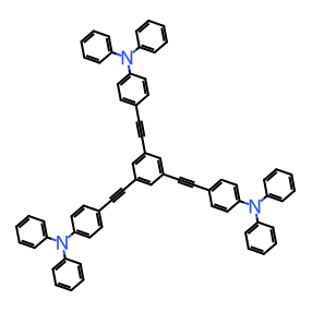 C(#Cc1cc(C#Cc2ccc(N(c3ccccc3)c3ccccc3)cc2)cc(C#Cc2ccc(N(c3ccccc3)c3ccccc3)cc2)c1)c1ccc(N(c2ccccc2)c2ccccc2)cc1